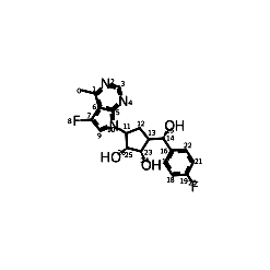 Cc1ncnc2c1c(F)cn2C1CC([C@@H](O)c2ccc(F)cc2)[C@@H](O)[C@H]1O